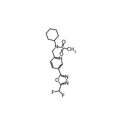 CS(=O)(=O)N(Cc1ccc(-c2nnc(C(F)F)o2)cn1)C1CCCCC1